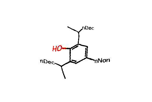 CCCCCCCCCCC(C)c1cc(CCCCCCCCC)cc(C(C)CCCCCCCCCC)c1O